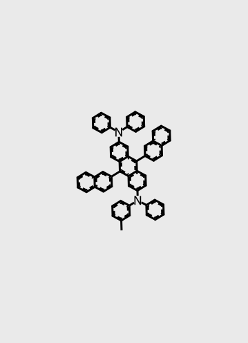 Cc1cccc(N(c2ccccc2)c2ccc3c(-c4ccc5ccccc5c4)c4cc(N(c5ccccc5)c5ccccc5)ccc4c(-c4ccc5ccccc5c4)c3c2)c1